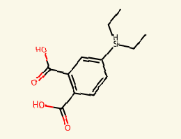 CC[SiH](CC)c1ccc(C(=O)O)c(C(=O)O)c1